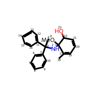 COC1(NC(C)(c2ccccc2)c2ccccc2)C(C)=CC=CC1O